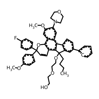 CCCCC1(OCCOCCO)c2cc(-c3ccccc3)ccc2-c2c1c1c(c3cc(OC)c(N4CCOCC4)cc23)OC(c2ccc(F)cc2)(c2ccc(OC)cc2)C=C1